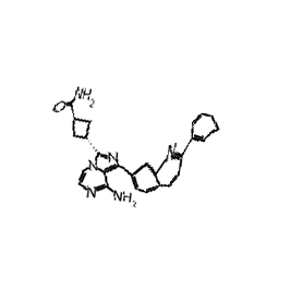 Nc1nccn2c1c(C1=CC=C3C=CC(C4=CCCC=C4)=NC3C1)nc2[C@H]1C[C@H](C(N)=O)C1